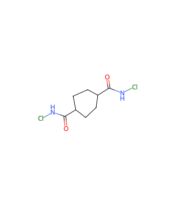 O=C(NCl)C1CCC(C(=O)NCl)CC1